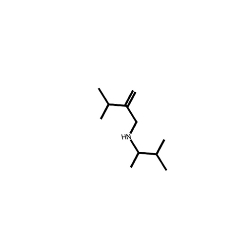 C=C(CNC(C)C(C)C)C(C)C